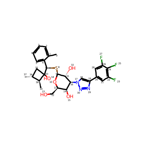 Cc1ccccc1[C@@H](S[C@@H]1O[C@H](CO)[C@H](O)[C@H](n2cc(-c3cc(F)c(F)c(F)c3)nn2)[C@H]1O)C1(O)C[C@@H](C)[C@@H]1C